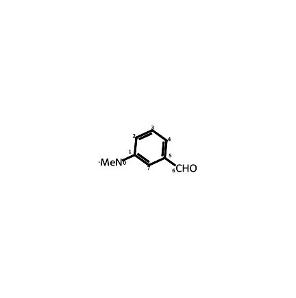 C[N]c1cccc(C=O)c1